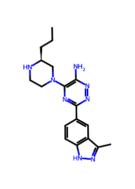 CCC[C@H]1CN(c2nc(-c3ccc4[nH]nc(C)c4c3)nnc2N)CCN1